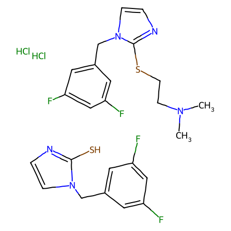 CN(C)CCSc1nccn1Cc1cc(F)cc(F)c1.Cl.Cl.Fc1cc(F)cc(Cn2ccnc2S)c1